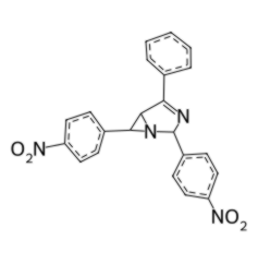 O=[N+]([O-])c1ccc(C2N=C(c3ccccc3)C3C(c4ccc([N+](=O)[O-])cc4)N23)cc1